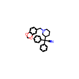 N#CC(c1ccccc1)(c1ccccc1)C1CCCN(Cc2ccc3c(c2)OCO3)C1